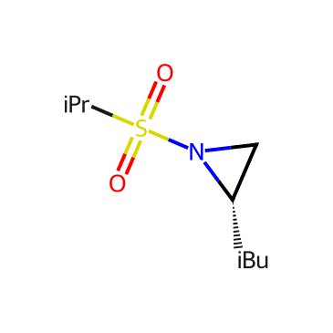 CCC(C)[C@H]1CN1S(=O)(=O)C(C)C